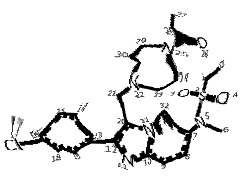 CCS(=O)(=O)N(C)c1ccc2nc(-c3ccc(Cl)cc3)c(CN3CCN(C(C)=O)CC3)n2c1